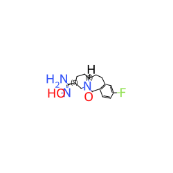 NC(=NO)[C@H]1CC[C@@H]2CCc3cc(F)ccc3C(=O)N2C1